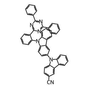 N#Cc1ccc2c(c1)c1ccccc1n2-c1ccc2c(c1)c1ccccc1n2-c1ccccc1-c1nc(-c2ccccc2)nc(-c2ccccc2)n1